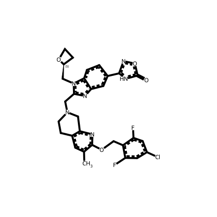 Cc1cc2c(nc1OCc1c(F)cc(Cl)cc1F)CN(Cc1nc3cc(-c4noc(=O)[nH]4)ccc3n1C[C@@H]1CCO1)CC2